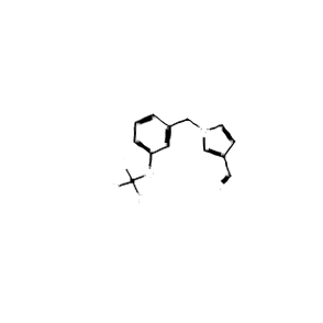 O=Cc1ccn(Cc2cccc(OC(F)(F)F)c2)c1